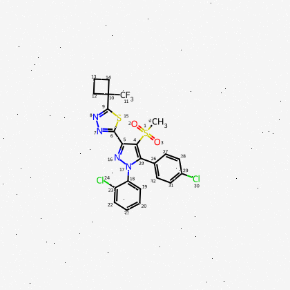 CS(=O)(=O)c1c(-c2nnc(C3(C(F)(F)F)CCC3)s2)nn(-c2ccccc2Cl)c1-c1ccc(Cl)cc1